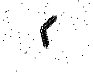 O=C(OC(=O)C(F)(F)C(F)(F)C(F)(F)C(F)(F)C(F)(F)C(F)(F)C(F)(F)C(F)(F)F)C(F)(F)C(F)(F)C(F)(F)C(F)(F)C(F)(F)C(F)(F)C(F)(F)C(F)(F)F